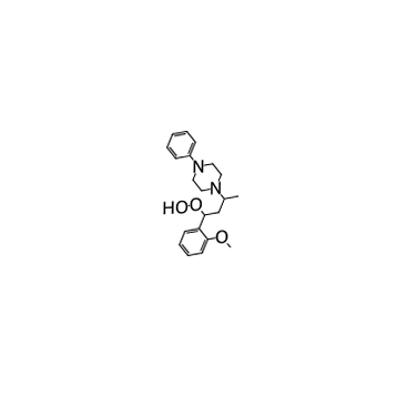 COc1ccccc1C(CC(C)N1CCN(c2ccccc2)CC1)OO